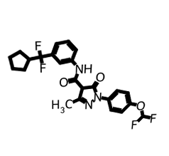 CC1=NN(c2ccc(OC(F)F)cc2)C(=O)C1C(=O)Nc1cccc(C(F)(F)C2CCCC2)c1